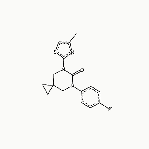 Cc1csc(N2CC3(CC3)CN(c3ccc(Br)cc3)C2=O)n1